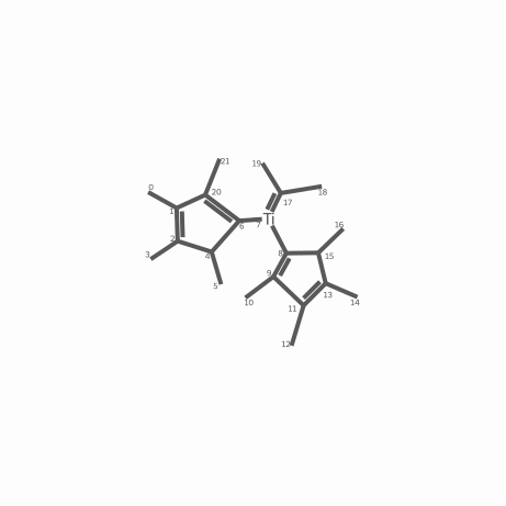 CC1=C(C)C(C)[C]([Ti]([C]2=C(C)C(C)=C(C)C2C)=[C](C)C)=C1C